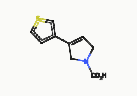 O=C(O)N1CC=C(c2ccsc2)C1